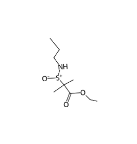 CCCN[S+]([O-])C(C)(C)C(=O)OCC